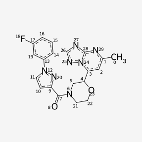 Cc1cc(C2CN(C(=O)c3ccn(-c4cccc(F)c4)n3)CCO2)n2ncnc2n1